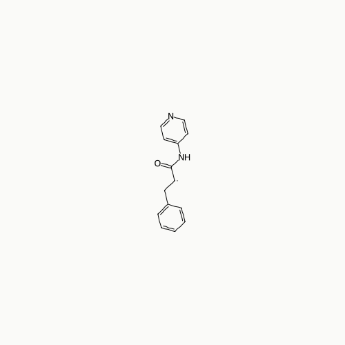 O=C([CH]Cc1ccccc1)Nc1ccncc1